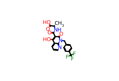 C[C@@H](NC(=O)c1c(O)c2cccnc2n(Cc2ccc(C(F)(F)F)cc2)c1=O)C(=O)O